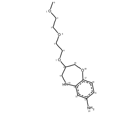 COCCOCCOC1CNc2cc(N)ccc2OC1